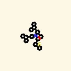 c1ccc(-c2ccc(-c3cc4ccccc4c4ccccc34)cc2N(c2ccc(-c3cc4ccccc4c4ccccc34)cc2)c2cccc(-c3cccc4c3sc3ccccc34)c2)cc1